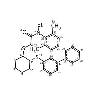 CCN(C(=O)CS[C@@H]1CCCC[C@H]1Sc1cccc(-c2ccccc2)c1)c1c(C)cccc1C